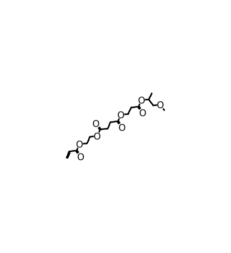 C=CC(=O)OCCOC(=O)CCC(=O)OCCC(=O)OC(C)COC